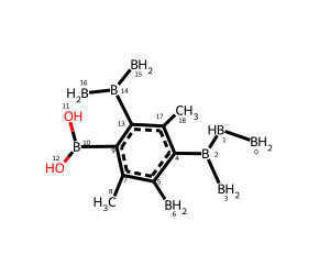 BBB(B)c1c(B)c(C)c(B(O)O)c(B(B)B)c1C